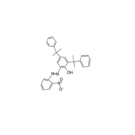 CC(C)(c1ccccc1)c1cc(N=Nc2ccccc2[N+](=O)[O-])c(O)c(C(C)(C)c2ccccc2)c1